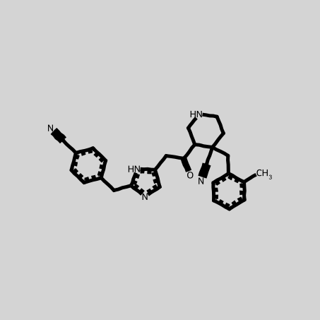 Cc1ccccc1CC1(C#N)CCNCC1C(=O)Cc1cnc(Cc2ccc(C#N)cc2)[nH]1